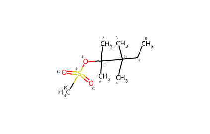 CCC(C)(C)C(C)(C)OS(C)(=O)=O